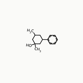 CC1CC(c2ccccc2)CC(C)(O)C1